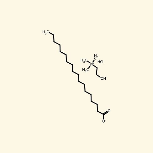 CCCCCCCCCCCCCCCCCC(=O)[O-].C[N+](C)(C)CCO.Cl